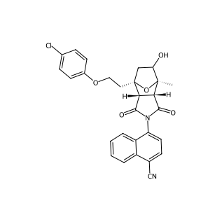 C[C@]12O[C@](CCOc3ccc(Cl)cc3)(CC1O)[C@H]1C(=O)N(c3ccc(C#N)c4ccccc34)C(=O)[C@H]12